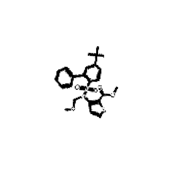 COCN(c1ccsc1C(=O)OC)S(=O)(=O)c1ccc(C(C)(C)C)cc1-c1ccccc1